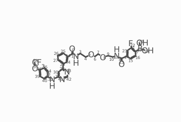 O=C(NCCOCCOCCNC(=O)c1ccc(B(O)O)c(F)c1)c1cccc(-c2cc(Nc3ccc(OC(F)(F)F)cc3)ncn2)c1